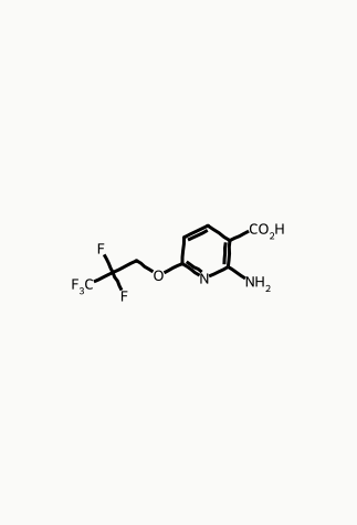 Nc1nc(OCC(F)(F)C(F)(F)F)ccc1C(=O)O